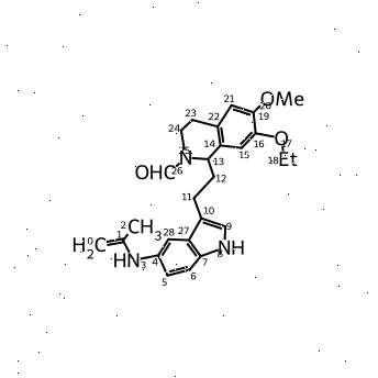 C=C(C)Nc1ccc2[nH]cc(CCC3c4cc(OCC)c(OC)cc4CCN3C=O)c2c1